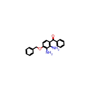 Nc1c(OCc2ccccc2)ccc(C(=O)c2ccccc2)c1N